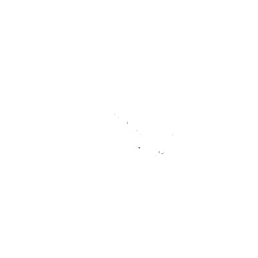 CC(C)(C)OC(=O)N1C2CCC1CC(N1CCOCC1)C2